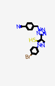 N#Cc1ccc(Cn2nnc(-c3cnn(-c4ccc(Br)cc4)c3S)n2)cc1